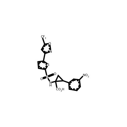 O=C(O)C1(NS(=O)(=O)c2ccc(-c3cc(C(F)(F)F)on3)s2)CC1c1cccc([N+](=O)[O-])c1